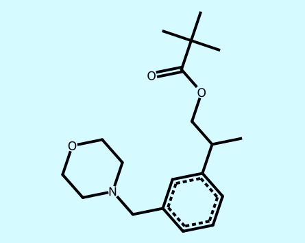 CC(COC(=O)C(C)(C)C)c1cccc(CN2CCOCC2)c1